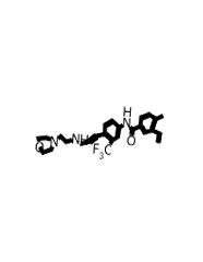 C=Cc1cc(C(=O)Nc2ccc(C#CCNCCN3CCOCC3)c(C(F)(F)F)c2)ccc1C